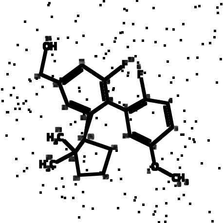 COc1ccc(F)c(-c2c(F)cc(CO)cc2[C@H]2CCCC2(C)C)c1